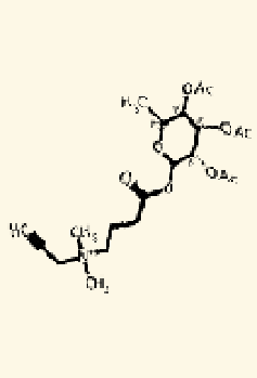 C#CC[N+](C)(C)CCCC(=O)OC1O[C@@H](C)[C@@H](OC(C)=O)[C@@H](OC(C)=O)[C@@H]1OC(C)=O